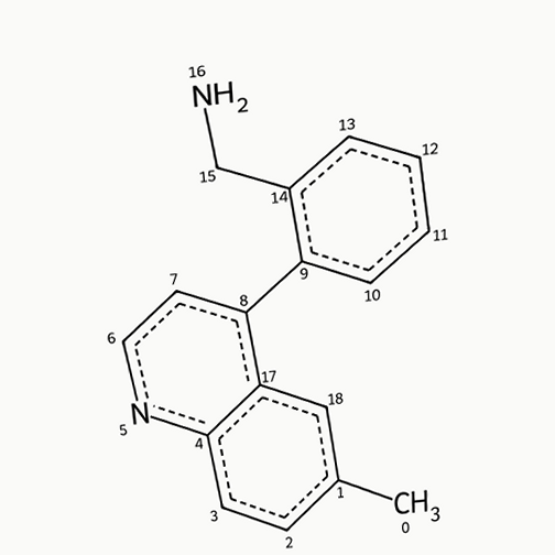 Cc1ccc2nccc(-c3ccccc3CN)c2c1